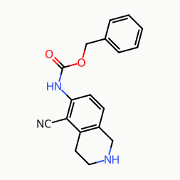 N#Cc1c(NC(=O)OCc2ccccc2)ccc2c1CCNC2